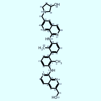 Cc1c(Nc2nccc3cc(CO)cnc23)cccc1-c1cccc(Nc2nccc3cc(CN4CCC(O)C4)cnc23)c1C